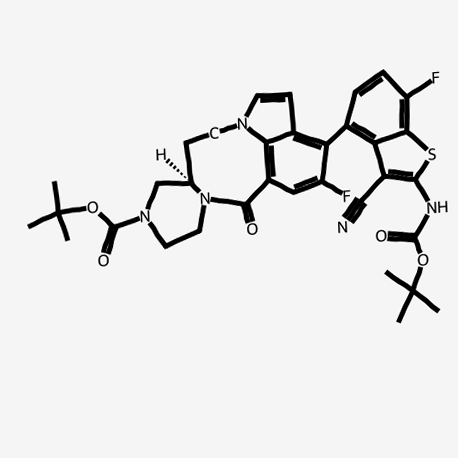 CC(C)(C)OC(=O)Nc1sc2c(F)ccc(-c3c(F)cc4c5c3ccn5CC[C@@H]3CN(C(=O)OC(C)(C)C)CCN3C4=O)c2c1C#N